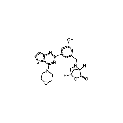 O=C1O[C@H]2C[C@@H]1N(Cc1cc(O)cc(-c3nc(N4CCOCC4)c4sccc4n3)c1)C2